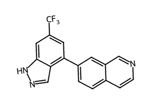 FC(F)(F)c1cc(-c2ccc3ccncc3c2)c2cn[nH]c2c1